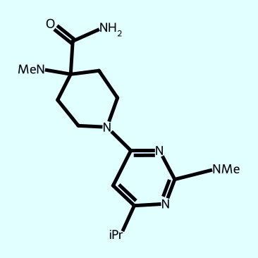 CNc1nc(C(C)C)cc(N2CCC(NC)(C(N)=O)CC2)n1